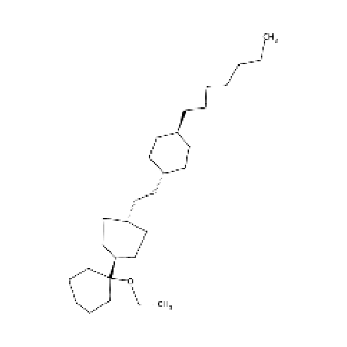 CCCCCCC[C@H]1CC[C@H](CC[C@H]2CC[C@H](C3(OCC)CCCCC3)CC2)CC1